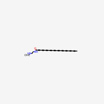 CC#CC#CC#CC#CC#CC#CC#CC#CC#CC#CC(=O)NCCNC=O